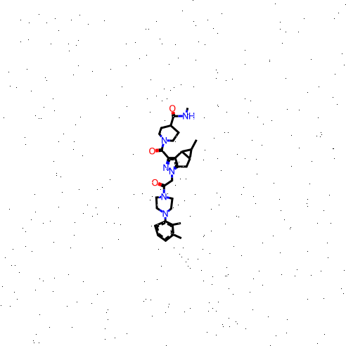 CNC(=O)C1CCN(C(=O)c2nn(CC(=O)N3CCN(c4cccc(C)c4C)CC3)c3c2C2C(C)C2C3)CC1